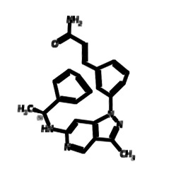 Cc1nn(-c2cccc(C=CC(N)=O)c2)c2cc(N[C@@H](C)c3ccccc3)ncc12